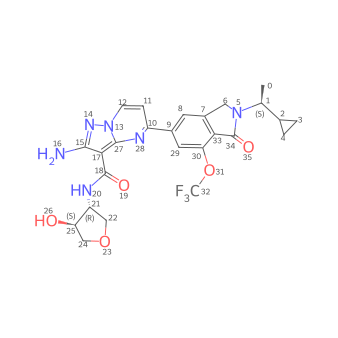 C[C@@H](C1CC1)N1Cc2cc(-c3ccn4nc(N)c(C(=O)N[C@@H]5COC[C@H]5O)c4n3)cc(OC(F)(F)F)c2C1=O